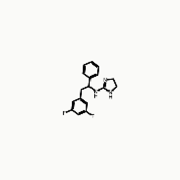 Fc1cc(F)cc(CC(NC2=NCCN2)c2ccccc2)c1